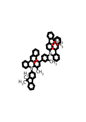 Cc1cc(-c2ccc(N(c3ccc4c(c3)C(C)(C)c3ccccc3-4)c3ccccc3-c3ccc4ccccc4c3)c(C)c2)ccc1N(c1ccc2c(c1)C(C)(C)c1ccccc1-2)c1ccccc1-c1ccc2ccccc2c1